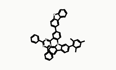 Cc1cc(C)c(-c2ccc3c4ccccc4n(-c4ccc(-c5ccc6oc7ccccc7c6c5)cc4-c4nc(-c5ccccc5)nc(-c5ccccc5)n4)c3c2)c(C)c1